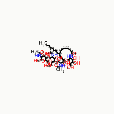 CCCCCCCCC1CCCCCCC(=O)NC2C(OC(CO)C(O)C2O)OC2C(C1)OC(OC1C(CO)OC(OC3C(CO)OC(O)C(NC(C)=O)C3O)C(NC(C)=O)C1O)C(NC(C)=O)C2O